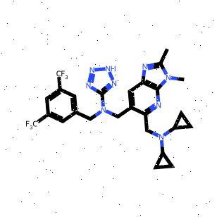 Cc1nc2cc(CN(Cc3cc(C(F)(F)F)cc(C(F)(F)F)c3)c3nn[nH]n3)c(CN(C3CC3)C3CC3)nc2n1C